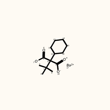 CC(C)(C)C(C(=O)[O-])(C(=O)[O-])C1CCCCC1.[Ba+2]